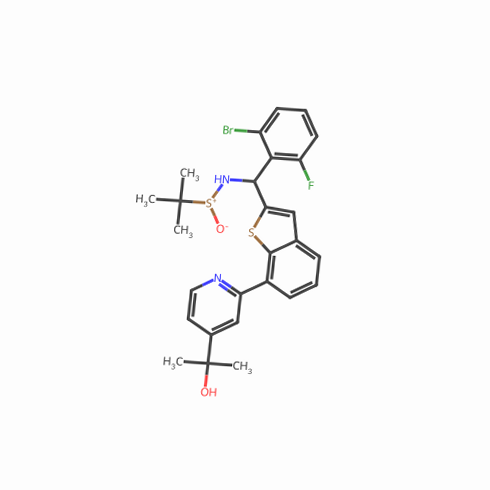 CC(C)(O)c1ccnc(-c2cccc3cc(C(N[S+]([O-])C(C)(C)C)c4c(F)cccc4Br)sc23)c1